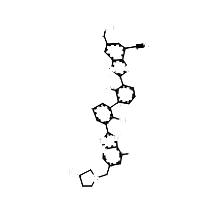 Cc1c(-c2nc3c(Cl)cc(CN4CC[C@@H](O)C4)cn3n2)cccc1-c1cccc(-c2nc3cc(CO)cc(C#N)c3o2)c1C